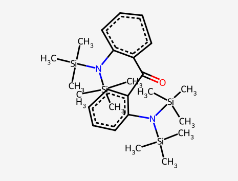 C[Si](C)(C)N(c1ccccc1C(=O)c1ccccc1N([Si](C)(C)C)[Si](C)(C)C)[Si](C)(C)C